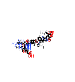 CC[C@@]1(O)C(=O)OCc2c1cc1n(c2=O)Cc2cc3c(CN(C)C)c(OCc4ccc(NC(=O)[C@H](CCCNC(=N)N)NC(=O)[C@@H](NC(=O)CCC(=O)O)C(C)C)cc4)ccc3nc2-1